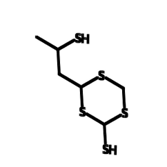 CC(S)CC1SCSC(S)S1